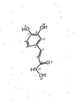 O=C(C=Cc1ccc(O)c(O)c1)NO